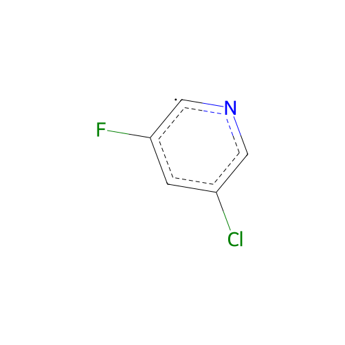 Fc1[c]ncc(Cl)c1